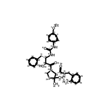 CCOc1ccc(NC(=O)N[C@@H](Cc2ccccc2)[C@H](O)C(=O)N2CSC(C)(C)[C@H]2C(=O)NCc2ccccc2C)cc1